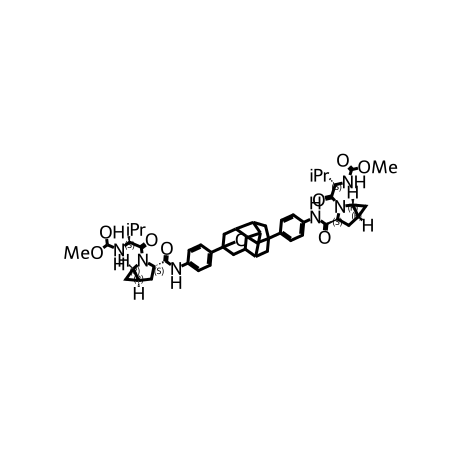 COC(=O)N[C@H](C(=O)N1[C@@H]2C[C@@H]2C[C@H]1C(=O)Nc1ccc(C23CC4C5CC6(c7ccc(NC(=O)[C@@H]8C[C@H]9C[C@H]9N8C(=O)[C@@H](NC(O)OC)C(C)C)cc7)CC4C(C2)C(C6)C5C3)cc1)C(C)C